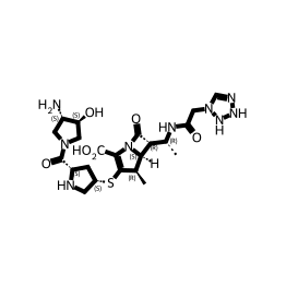 C[C@@H](NC(=O)CN1C=NNN1)[C@H]1C(=O)N2C(C(=O)O)=C(S[C@@H]3CN[C@H](C(=O)N4C[C@H](N)[C@@H](O)C4)C3)[C@H](C)[C@H]12